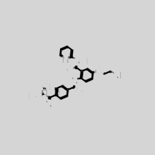 CN(C)C(=N)c1ccc(C(=O)Nc2ccc(OCCN)cc2C(=O)Nc2ccccn2)cc1